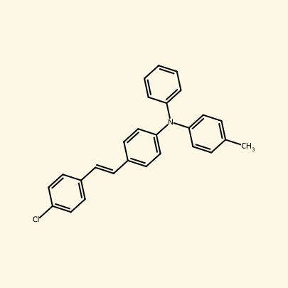 Cc1ccc(N(c2ccccc2)c2ccc(C=Cc3ccc(Cl)cc3)cc2)cc1